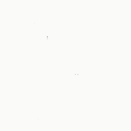 C=CCOc1cc(Cl)c(Cl)cc1C(=O)C1CCCN(C(=O)OC(C)(C)C)CC1